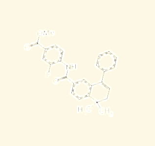 COC(=O)c1ccc(NC(=O)c2ccc3c(c2)C(c2ccccc2)=CCC3(C)C)c(F)c1